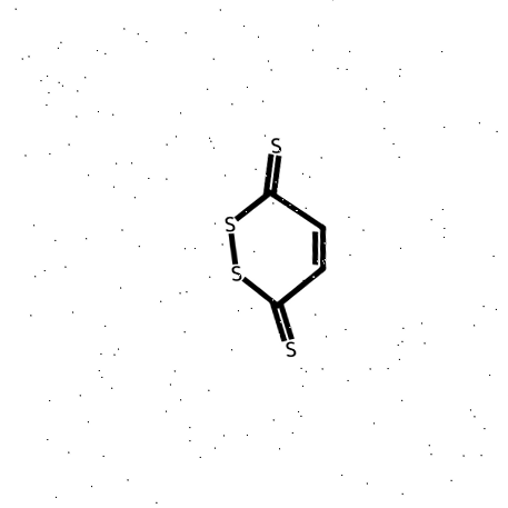 S=c1ccc(=S)ss1